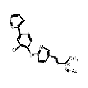 CC(=O)N[C@@H](C)/C=C/c1ccc(Oc2ccc(-c3ccccn3)cc2Cl)nc1